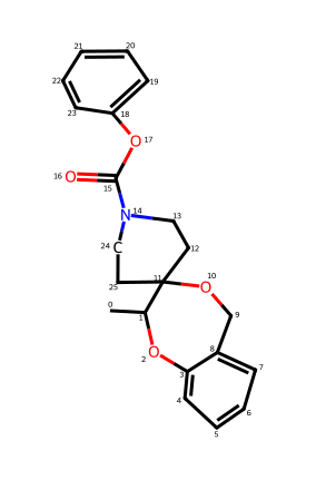 CC1Oc2ccccc2COC12CCN(C(=O)Oc1ccccc1)CC2